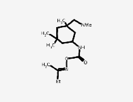 CCC(C)=NOC(=O)NC1CC(C)(C)CC(C)(CNC)C1